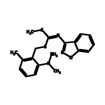 CS/C(=N/c1noc2ccccc12)SCc1c(C)cccc1N(C)N